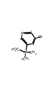 C[B-](C)(C)c1cncc(Br)c1